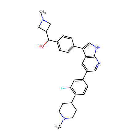 CN1CCC(c2ccc(-c3cnc4[nH]cc(-c5ccc(C(O)C6CN(C)C6)cc5)c4c3)cc2F)CC1